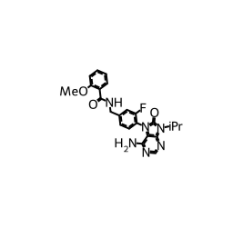 COc1ccccc1C(=O)NCc1ccc(-n2c(=O)n(C(C)C)c3ncnc(N)c32)c(F)c1